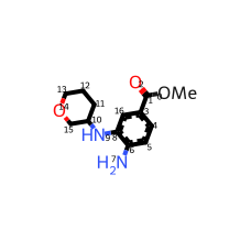 COC(=O)c1ccc(N)c(NC2CCCOC2)c1